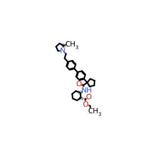 CCOC(=O)[C@@H]1CCCC[C@@H]1NC(=O)C1(c2ccc(-c3ccc(CCN4CCC[C@H]4C)cc3)cc2)CCCC1